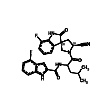 CC(C)CC(NC(=O)c1cc2c(F)cccc2[nH]1)C(=O)N1C[C@]2(C[C@H]1C#N)C(=O)Nc1c(F)cccc12